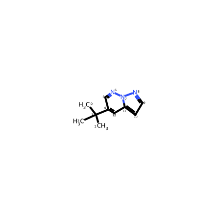 CC(C)(C)c1cnn2nccc2c1